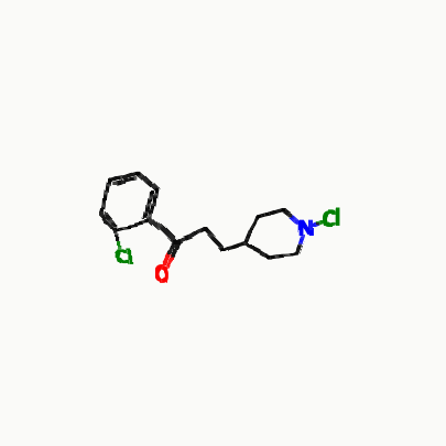 O=C(CCC1CCN(Cl)CC1)c1ccccc1Cl